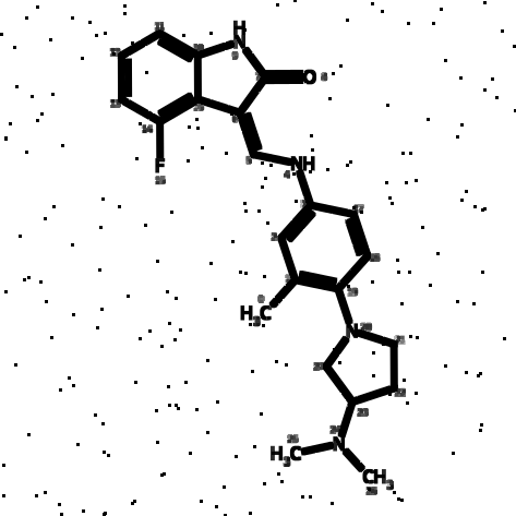 Cc1cc(NC=C2C(=O)Nc3cccc(F)c32)ccc1N1CCC(N(C)C)C1